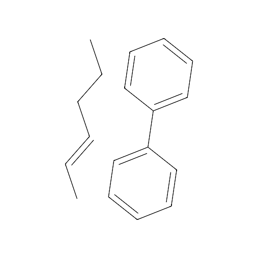 CC=CCCC.c1ccc(-c2ccccc2)cc1